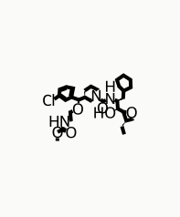 CC[C@H]1COC1[C@H](O)[C@H](CC1CCCCC1)NC(=O)N1CCC[C@@H]([C@@H](OCCNC(=O)OC)c2cccc(Cl)c2)C1